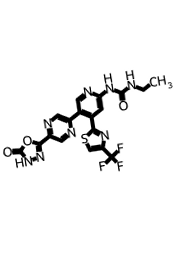 CCNC(=O)Nc1cc(-c2nc(C(F)(F)F)cs2)c(-c2cnc(-c3n[nH]c(=O)o3)cn2)cn1